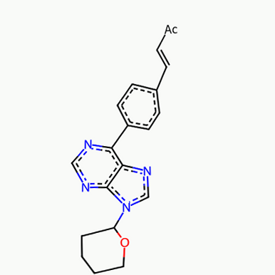 CC(=O)/C=C/c1ccc(-c2ncnc3c2ncn3C2CCCCO2)cc1